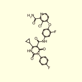 NC(=O)c1nccc(Oc2ccc(NC(=O)c3c(C4CC4)[nH]c(=O)n(-c4ccc(F)cc4)c3=O)cc2F)c1Cl